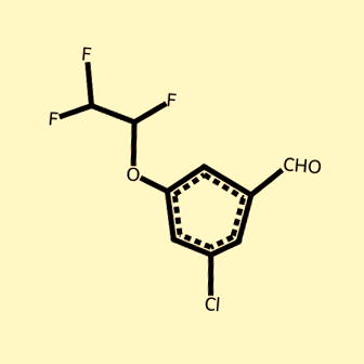 O=Cc1cc(Cl)cc(OC(F)C(F)F)c1